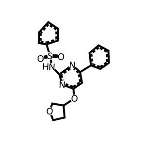 O=S(=O)(Nc1nc(OC2CCOC2)cc(-c2ccccc2)n1)c1ccccc1